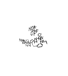 O=C(Nc1nc[nH]n1)Nc1ccc2cc1CCc1cccc(c1)Nc1ncc(Cl)c(n1)N2.O=C(O)C(F)(F)F